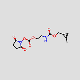 CC1=CC1COC(=O)NCCOC(=O)ON1C(=O)CCC1=O